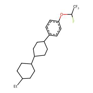 CCC1CCC(C2CCC(c3ccc(OC(F)C(F)(F)F)cc3)CC2)CC1